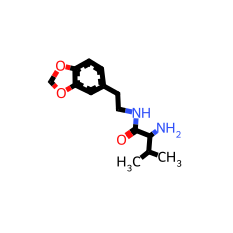 CC(C)C(N)C(=O)NCCc1ccc2c(c1)OCO2